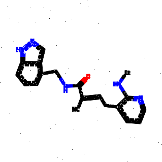 CCNc1ncccc1C/C=C(\C#N)C(=O)NCc1cccc2[nH]ncc12